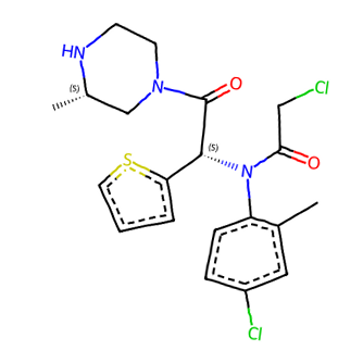 Cc1cc(Cl)ccc1N(C(=O)CCl)[C@@H](C(=O)N1CCN[C@@H](C)C1)c1cccs1